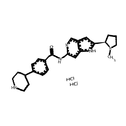 CN1CCC[C@@H]1c1cc2cnc(NC(=O)c3ccc(C4CCNCC4)cc3)cc2[nH]1.Cl.Cl